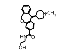 CN1CCC(=C2c3ccccc3COc3cc(C(=O)NCCO)ccc32)CC1